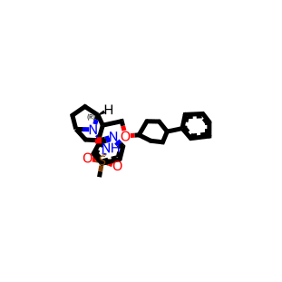 CS(=O)(=O)NC1CC2CC[C@H](C1COC1CCC(c3ccccc3)CC1)N2c1ccccn1